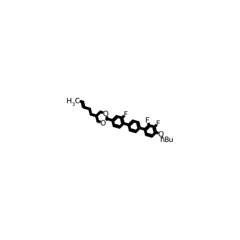 C/C=C/CCC1COC(c2ccc(-c3ccc(-c4ccc(OCCCC)c(F)c4F)cc3)c(F)c2)OC1